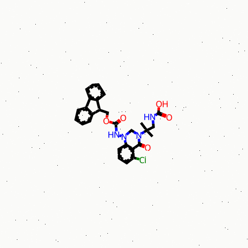 CC(C)(CNC(=O)O)N1CN(NC(=O)OCC2c3ccccc3-c3ccccc32)c2cccc(Cl)c2C1=O